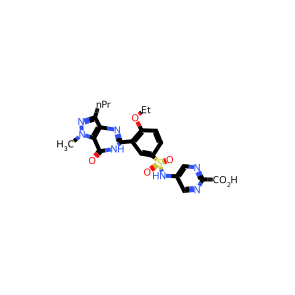 CCCc1nn(C)c2c(=O)[nH]c(-c3cc(S(=O)(=O)Nc4cnc(C(=O)O)nc4)ccc3OCC)nc12